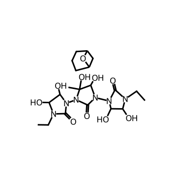 C1CC2CC(C1)O2.CCN1C(=O)N(N2C(=O)N(N3C(=O)N(CC)C(O)C3O)C(C)(O)C2O)C(O)C1O